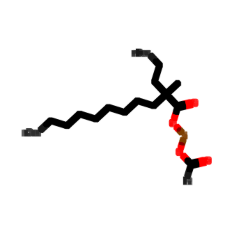 CCCCCCCCCCCCCCCCCCC(C)(CCCCCCCCCCCC)C(=O)OSOC(=O)CC